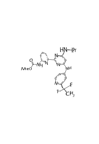 COC(=O)Nc1cccc(-c2nc(Nc3ccnc(C(C)(F)F)c3)cc(NC(C)C)n2)n1